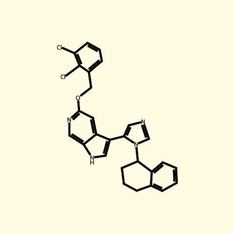 Clc1cccc(COc2cc3c(-c4cncn4C4CCCc5ccccc54)c[nH]c3cn2)c1Cl